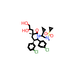 CN(CC(C1CC1)N1C(=O)[C@@](C)(CC(O)CO)C[C@H](c2cccc(Cl)c2)C1c1ccc(Cl)cc1)S(=O)(=O)C1CC1